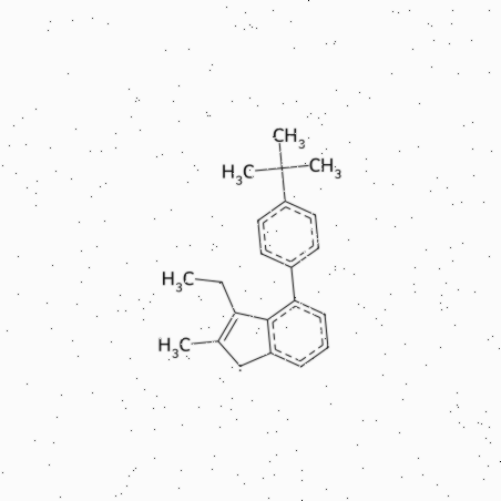 CCC1=C(C)[CH]c2cccc(-c3ccc(C(C)(C)C)cc3)c21